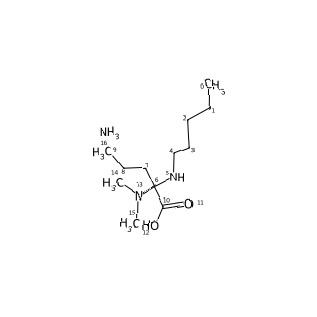 CCCCCNC(CCC)(C(=O)O)N(C)C.N